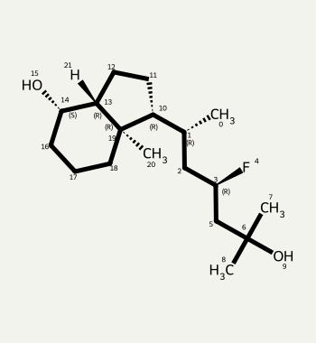 C[C@H](C[C@@H](F)CC(C)(C)O)[C@H]1CC[C@H]2[C@@H](O)CCC[C@]12C